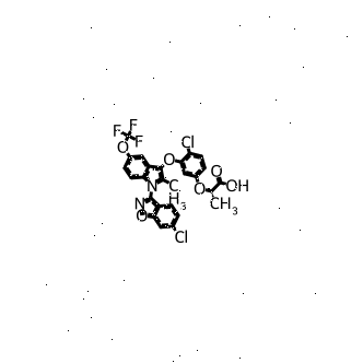 Cc1c(Oc2cc(O[C@@H](C)C(=O)O)ccc2Cl)c2cc(OC(F)(F)F)ccc2n1-c1noc2cc(Cl)ccc12